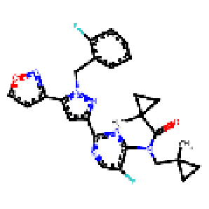 CC1(CN(C(=O)C2(C)CC2)c2nc(-c3cc(-c4ccon4)n(Cc4ccccc4F)n3)ncc2F)CC1